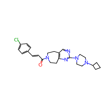 O=C(C=Cc1ccc(Cl)cc1)N1CCc2cnc(N3CCN(C4CCC4)CC3)nc2CC1